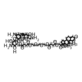 C[C@]12C=CC(=O)C=C1CCC1C2[C@@H](O)C[C@@]2(C)C1CC[C@]2(O)C(=O)COC(=O)CCC(=O)OCCOCCOCCOC(=O)CCC(=O)OC[C@H]1O[C@H](O[C@@H]2[C@@H](O)[C@H](O[C@H]3O[C@H](CN)[C@@H](O)C[C@H]3N)[C@@H](N)C[C@H]2N)[C@H](O)[C@@H](N)[C@@H]1O